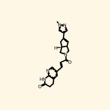 Cn1cc(C2=CC3CN(C(=O)/C=C/c4cnc5c(c4)CCC(=O)N5)C[C@@H]3C2)cn1